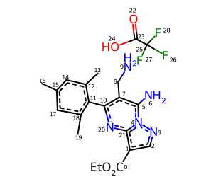 CCOC(=O)c1cnn2c(N)c(CN)c(-c3c(C)cc(C)cc3C)nc12.O=C(O)C(F)(F)F